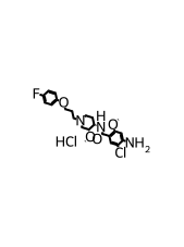 COc1cc(N)c(Cl)cc1C(=O)N[C@H]1CCN(CCCOc2ccc(F)cc2)C[C@H]1OC.Cl